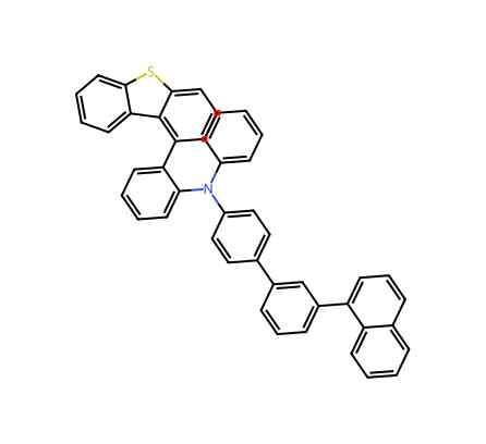 c1ccc(N(c2ccc(-c3cccc(-c4cccc5ccccc45)c3)cc2)c2ccccc2-c2cccc3sc4ccccc4c23)cc1